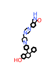 O=C1NCc2cc(N3CCN(CC4CCN(c5ccc(C6c7ccc(O)cc7CCC6c6ccccc6)cc5)CC4)CC3)ccc21